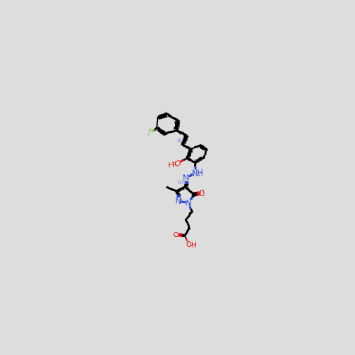 CC1=NN(CCCC(=O)O)C(=O)/C1=N\Nc1cccc(/C=C/c2cccc(F)c2)c1O